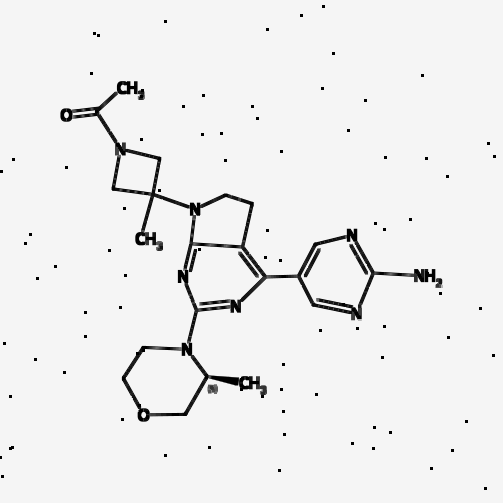 CC(=O)N1CC(C)(N2CCc3c(-c4cnc(N)nc4)nc(N4CCOC[C@@H]4C)nc32)C1